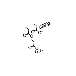 CCC(=O)[O-].CCC(=O)[O-].CCC(=O)[O-].[Er].[Gd].[Lu+3].[Tm].[Yb]